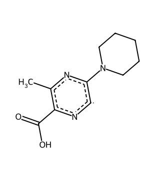 Cc1nc(N2CCCCC2)[c]nc1C(=O)O